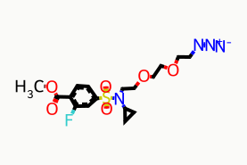 COC(=O)c1ccc(S(=O)(=O)N(CCOCCOCCN=[N+]=[N-])C2CC2)cc1F